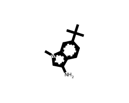 Cn1cc(N)c2ccc(C(C)(C)C)cc21